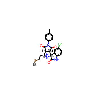 CCSCC[C@@H]1N[C@@]2(C(=O)Nc3ccc(Br)cc32)[C@@H]2C(=O)N(c3ccc(C)cc3)C(=O)[C@H]12